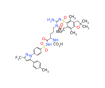 Cc1ccc(-c2cc(C(F)(F)F)nn2-c2ccc(S(=O)(=O)NC(=O)C(CCCN(OC(C)(C)C)C(N)=NS(=O)(=O)c3c(C)c(C)c4c(c3C)CC(C)(C)O4)NC(=O)O)cc2)cc1